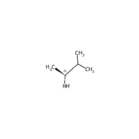 CC(C)[C@H](C)[NH]